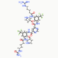 N=C(N)NCCCCC(=O)Nc1cc(C(F)(F)F)cc(NC(=O)c2cc(C(=O)Nc3cc(C(F)(F)F)cc(NC(=O)CCCCNC(N)=O)c3OC3CCNC3)ncn2)c1OC1CCNC1